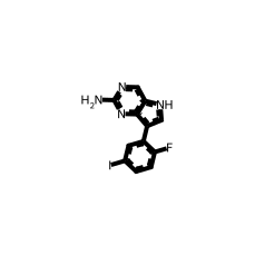 Nc1ncc2[nH]cc(-c3cc(I)ccc3F)c2n1